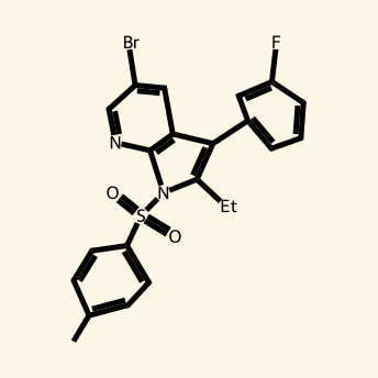 CCc1c(-c2cccc(F)c2)c2cc(Br)cnc2n1S(=O)(=O)c1ccc(C)cc1